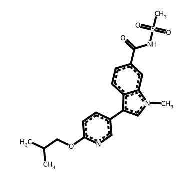 CC(C)COc1ccc(-c2cn(C)c3cc(C(=O)NS(C)(=O)=O)ccc23)cn1